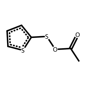 CC(=O)OSc1cccs1